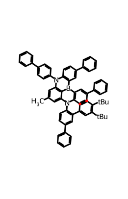 Cc1cc2c3c(c1)N(c1ccc(-c4ccccc4)cc1-c1ccc(C(C)(C)C)c(C(C)(C)C)c1)c1ccc(-c4ccccc4)cc1B3c1cc(-c3ccccc3)ccc1N2c1ccc(-c2ccccc2)cc1